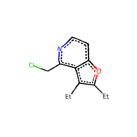 CCc1oc2ccnc(CCl)c2c1CC